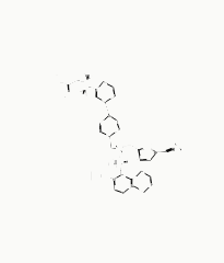 Cc1ccc2ccccc2c1S(=O)(=O)N(Cc1ccc(-c2cccc(S(=O)(=O)CC(=O)O)c2)cc1)Cc1ccc(C#N)o1